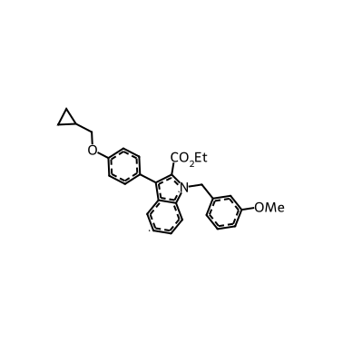 CCOC(=O)c1c(-c2ccc(OCC3CC3)cc2)c2c[c]ccc2n1Cc1cccc(OC)c1